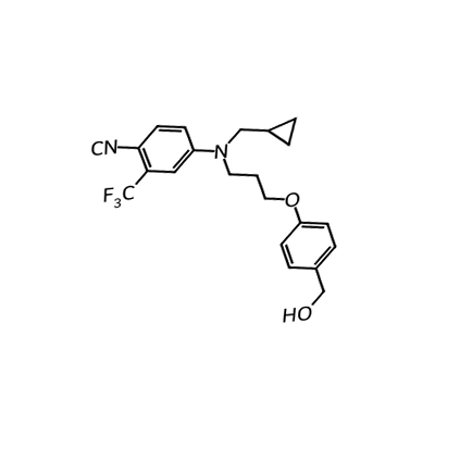 [C-]#[N+]c1ccc(N(CCCOc2ccc(CO)cc2)CC2CC2)cc1C(F)(F)F